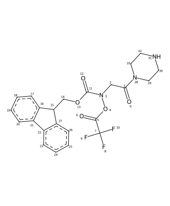 O=C(CN(OC(=O)C(F)(F)F)C(=O)OCC1c2ccccc2-c2ccccc21)N1CCNCC1